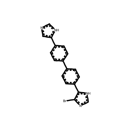 Brc1nc[nH]c1-c1ccc(-c2ccc(-c3cnc[nH]3)cc2)cc1